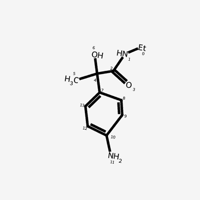 CCNC(=O)C(C)(O)c1ccc(N)cc1